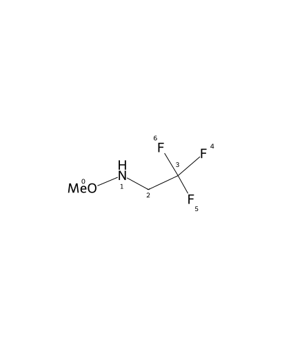 CONCC(F)(F)F